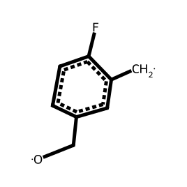 [CH2]c1cc(C[O])ccc1F